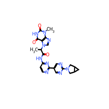 CC(C(=O)Nc1ccnc(-c2cnc(N3CC4CC4C3)nc2)n1)n1cnc2c1c(=O)[nH]c(=O)n2C